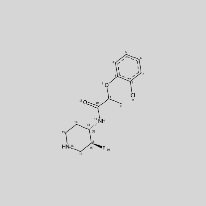 CC(Oc1ccccc1Cl)C(=O)N[C@H]1CCNC[C@@H]1F